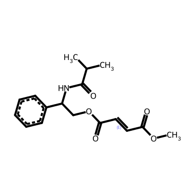 COC(=O)/C=C/C(=O)OCC(NC(=O)C(C)C)c1ccccc1